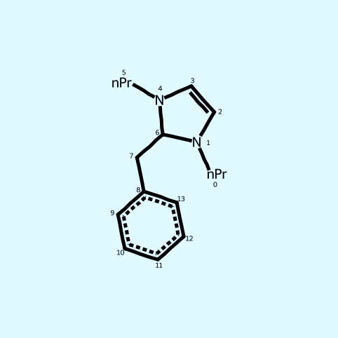 CCCN1C=CN(CCC)C1Cc1ccccc1